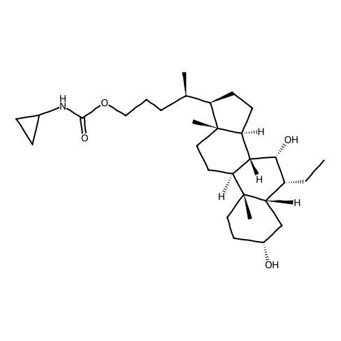 CC[C@H]1[C@@H](O)[C@@H]2[C@H](CC[C@]3(C)[C@@H]([C@H](C)CCCOC(=O)NC4CC4)CC[C@@H]23)[C@@]2(C)CC[C@@H](O)C[C@@H]12